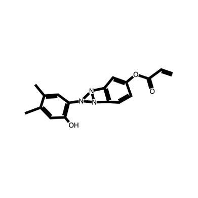 C=CC(=O)Oc1ccc2c(c1)n1n(-c3cc(C)c(C)cc3O)n21